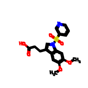 COc1cc2c(CCC(=O)O)cn(S(=O)(=O)c3cccnc3)c2cc1OC